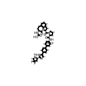 Cl.O=C(O)N[C@H]1CCc2cccc3c2N(C1=O)[C@H](C(=O)N1CCC[C@H]1C(=O)Nc1ccc(-c2ccc(-c4cnc([C@@H]5CC(F)(F)CN5)[nH]4)cc2)cc1)C3